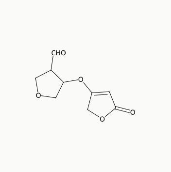 O=CC1COCC1OC1=CC(=O)OC1